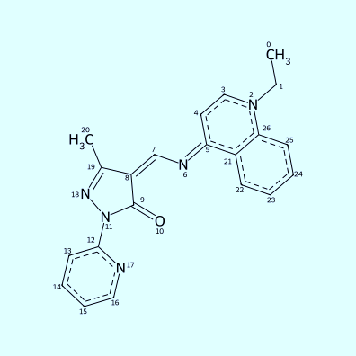 CCn1ccc(=NC=C2C(=O)N(c3ccccn3)N=C2C)c2ccccc21